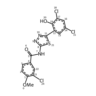 COc1ccc(C(=O)Nc2nnc(-c3cc(Cl)cc(Cl)c3O)s2)cc1Cl